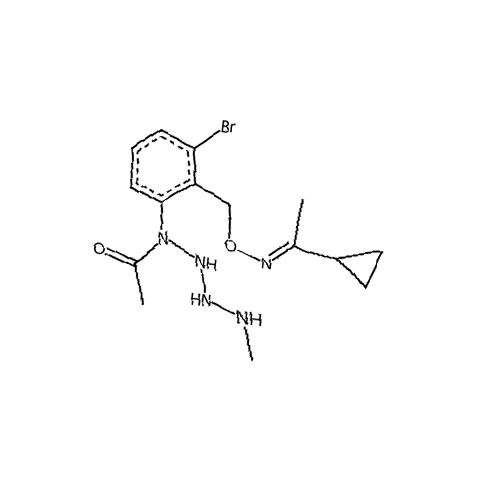 CNNNN(C(C)=O)c1cccc(Br)c1CO/N=C(\C)C1CC1